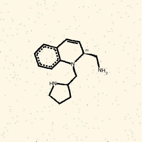 NC[C@@H]1C=Cc2ccccc2N1CC1CCCN1